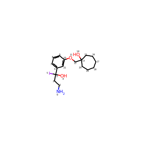 NCCC(O)(I)c1cccc(OCC2(O)CCCCCC2)c1